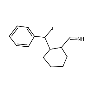 N=CC1CCCCC1C(I)c1ccccc1